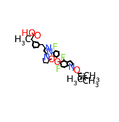 CC(C(=O)O)c1cccc(Cc2cc(N3CCCC3=O)n(-c3cc(Oc4c(F)cc5c(ccn5COCC[Si](C)(C)C)c4F)ccc3F)n2)c1